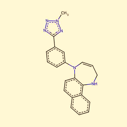 Cn1nnc(-c2cccc(N3C=CCNc4c3ccc3ccccc43)c2)n1